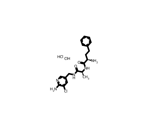 C[C@H](NC(=O)[C@H](N)CCc1ccccc1)C(=O)NCc1cnc(N)c(Cl)c1.Cl.Cl